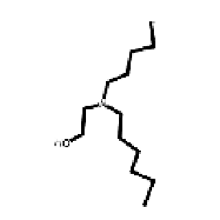 [CH2]CCCCN(CCO)CCCCCC